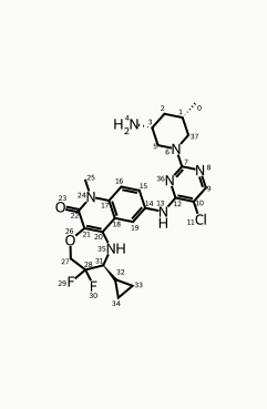 C[C@H]1C[C@@H](N)CN(c2ncc(Cl)c(Nc3ccc4c(c3)c3c(c(=O)n4C)OCC(F)(F)[C@H](C4CC4)N3)n2)C1